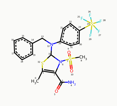 CC1=C(C(N)=O)N(S(C)(=O)=O)C(N(Cc2ccccc2)c2ccc(S(F)(F)(F)(F)F)cc2)S1